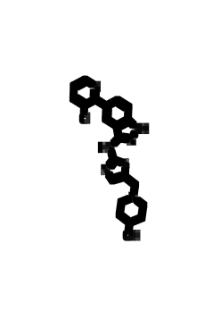 OC1CCN(Cc2cnc(Nc3n[nH]c4ccc(-c5ncccc5Cl)cc34)s2)CC1